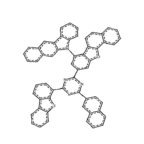 c1ccc2cc(-c3nc(-c4cc(-n5c6ccccc6c6cc7ccccc7cc65)c5c(c4)oc4c6ccccc6ccc45)nc(-c4cccc5c4sc4ccccc45)n3)ccc2c1